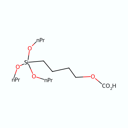 CCCO[Si](CCCCOC(=O)O)(OCCC)OCCC